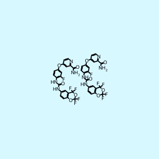 NC(=O)c1cc(Oc2ccc(NC(=O)Nc3ccc4c(c3)C(F)(F)OC(F)(F)O4)c(F)c2)ccn1.NC(=O)c1cc(Oc2ccc(NC(=O)Nc3ccc4c(c3)C(F)(F)OC(F)(F)O4)c(F)c2)ccn1